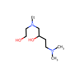 CCN(CCO)CC(O)CCN(C)C